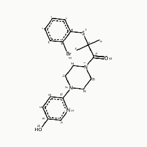 CC(C)(Sc1ccccc1Br)C(=O)N1CCN(c2ccc(O)cn2)CC1